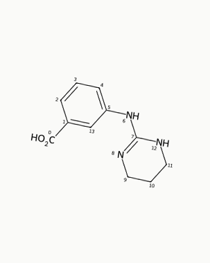 O=C(O)c1cccc(NC2=NCCCN2)c1